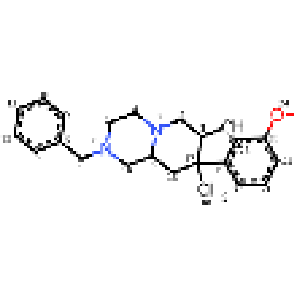 CC1CN2CCN(Cc3ccccc3)CC2CC1(C)c1cccc(O)c1